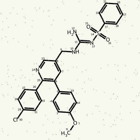 COc1ccc(-c2cc(CN/C(N)=N/S(=O)(=O)c3ccccc3)cnc2-c2ccc(Cl)cc2)cc1